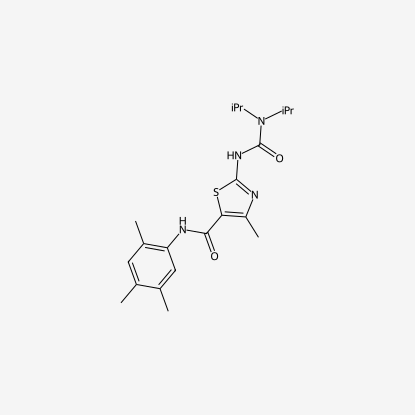 Cc1cc(C)c(NC(=O)c2sc(NC(=O)N(C(C)C)C(C)C)nc2C)cc1C